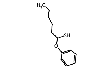 CCCCCC(S)Oc1ccccc1